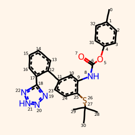 Cc1ccc(OC(=O)Nc2cc(-c3ccccc3-c3nn[nH]n3)ccc2SC(C)(C)C)cc1